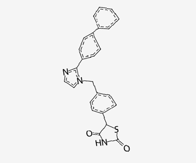 O=C1NC(=O)C(c2ccc(Cn3ccnc3-c3ccc(-c4ccccc4)cc3)cc2)S1